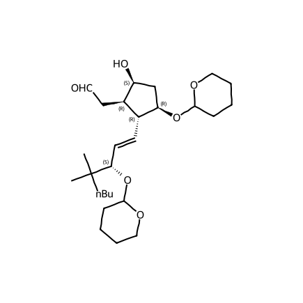 CCCCC(C)(C)[C@H](C=C[C@@H]1[C@@H](CC=O)[C@@H](O)C[C@H]1OC1CCCCO1)OC1CCCCO1